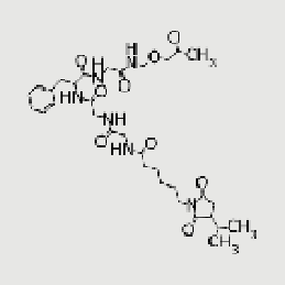 CC(=O)COCNC(=O)CNC(=O)[C@H](Cc1ccccc1)NC(=O)CNC(=O)CNC(=O)CCCCCN1C(=O)CC(C(C)C)C1=O